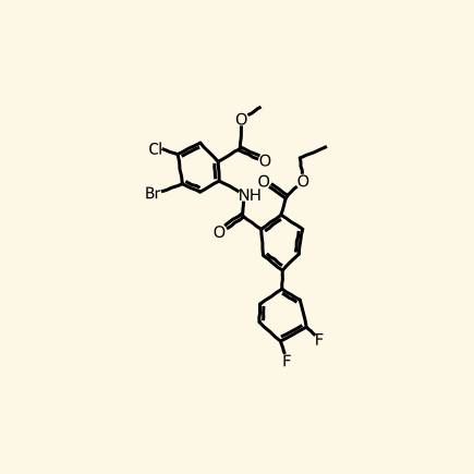 CCOC(=O)c1ccc(-c2ccc(F)c(F)c2)cc1C(=O)Nc1cc(Br)c(Cl)cc1C(=O)OC